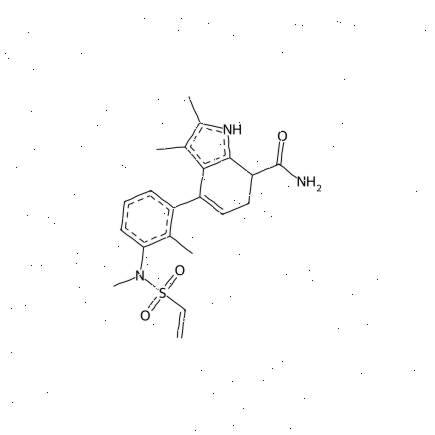 C=CS(=O)(=O)N(C)c1cccc(C2=CCC(C(N)=O)c3[nH]c(C)c(C)c32)c1C